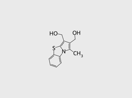 Cc1c(CO)c(CO)c2sc3ccccc3n12